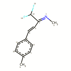 C/N=C(\C=C\c1ccc(C)cc1)C(F)F